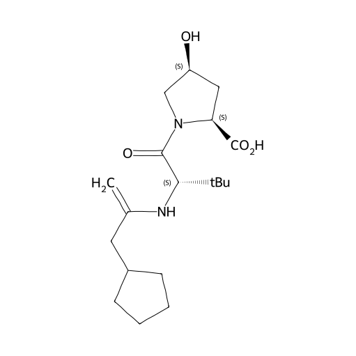 C=C(CC1CCCC1)N[C@H](C(=O)N1C[C@@H](O)C[C@H]1C(=O)O)C(C)(C)C